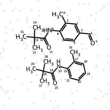 Cc1cc(C=O)ccc1NC(=O)C(C)(C)C.Cc1ccccc1NC(=O)C(C)(C)C